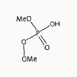 COOP(=O)(O)OC